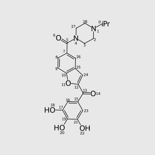 CC(C)N1CCN(C(=O)c2ccc3oc(C(=O)c4cc(O)c(O)c(O)c4)cc3c2)CC1